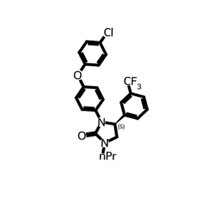 CCCN1C[C@H](c2cccc(C(F)(F)F)c2)N(c2ccc(Oc3ccc(Cl)cc3)cc2)C1=O